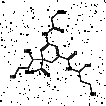 CNC(=O)C1(C(O)CCO)C=C(NC(=O)COC)C=C(C(=O)NC(O)CCO)C1